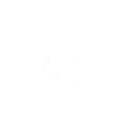 CCCCNC1CC(C)(C)N(C(O)CC)C(C)(C)C1